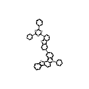 c1ccc(-c2nc(-c3ccccc3)nc(-c3cccc4c3sc3ccc(-c5ccc6c(c5)c5c7sc8ccccc8c7ccc5n6-c5ccccc5)cc34)n2)cc1